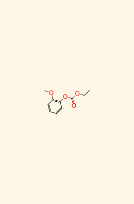 CCOC(=O)Oc1[c]cccc1OC